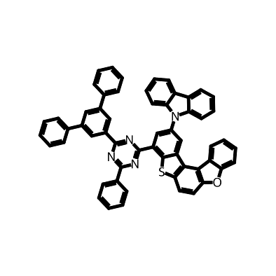 c1ccc(-c2cc(-c3ccccc3)cc(-c3nc(-c4ccccc4)nc(-c4cc(-n5c6ccccc6c6ccccc65)cc5c4sc4ccc6oc7ccccc7c6c45)n3)c2)cc1